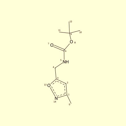 Cc1cc(CNC(=O)OC(C)(C)C)on1